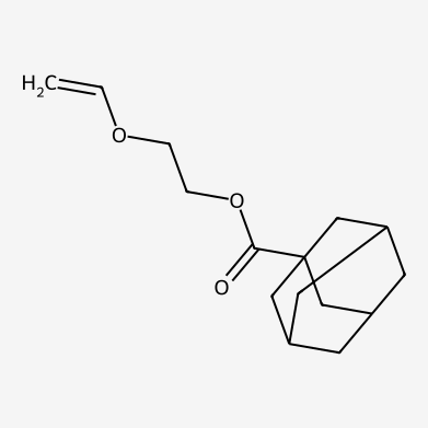 C=COCCOC(=O)C12CC3CC(CC(C3)C1)C2